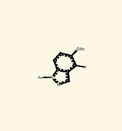 CC(=O)Oc1ccc2c(cnn2C(C)=O)c1F